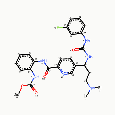 CCN(CC)CCC(NC(=O)Nc1cccc(F)c1)c1ccc(C(=O)Nc2ccccc2NC(=O)OC(C)(C)C)nc1